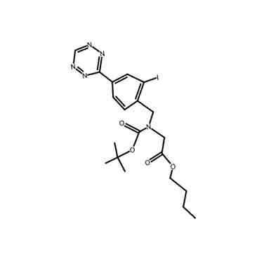 CCCCOC(=O)CN(Cc1ccc(-c2nncnn2)cc1I)C(=O)OC(C)(C)C